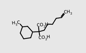 C=CCCCCC(C(=O)O)(C(=O)O)C1CCCC(C)C1